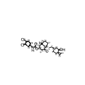 C[C@H]1C(=O)N2[C@@H](CCN3CCC4(CC4)[C@H](O)C3)CCC[C@H]2CN1OC(=O)Nc1ccc(Cl)c(Cl)c1